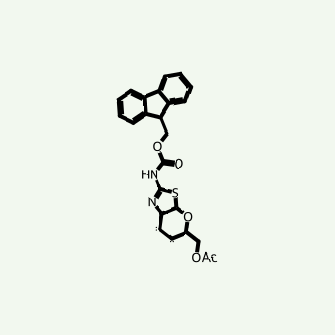 CC(=O)OCC1[C][C]C2N=C(NC(=O)OCC3c4ccccc4-c4ccccc43)SC2O1